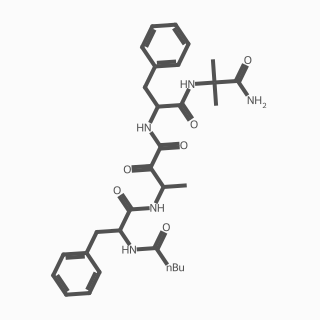 CCCCC(=O)NC(Cc1ccccc1)C(=O)NC(C)C(=O)C(=O)NC(Cc1ccccc1)C(=O)NC(C)(C)C(N)=O